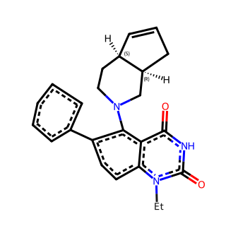 CCn1c(=O)[nH]c(=O)c2c(N3CC[C@H]4C=CC[C@H]4C3)c(-c3ccccc3)ccc21